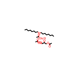 CC(=O)O.CC(=O)O.CC(=O)OCC(O)CO.CCCCCCCCOCCCCCCCC